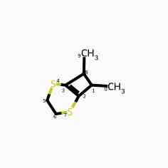 CC1C2=C(SCCS2)C1C